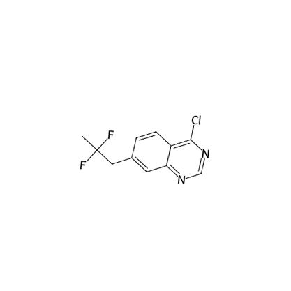 CC(F)(F)Cc1ccc2c(Cl)ncnc2c1